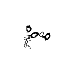 CCOC(=O)c1sc2cc(OCc3ccccc3)ccc2c1Sc1ccccc1